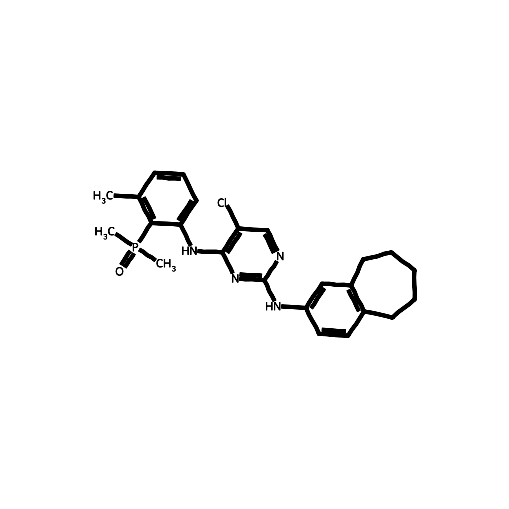 Cc1cccc(Nc2nc(Nc3ccc4c(c3)CCCCC4)ncc2Cl)c1P(C)(C)=O